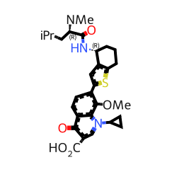 CN[C@H](CC(C)C)C(=O)N[C@@H]1CCCc2sc(-c3ccc4c(=O)c(C(=O)O)cn(C5CC5)c4c3OC)cc21